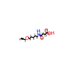 C#CCOCCCCCNC(=O)CCC(=O)O